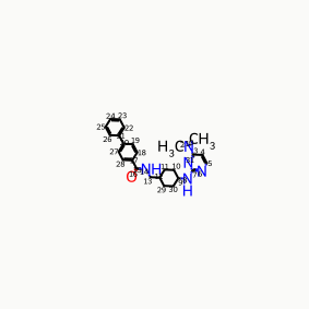 CN(C)c1ccnc(NC2CCC(CNC(=O)c3ccc(-c4ccccc4)cc3)CC2)n1